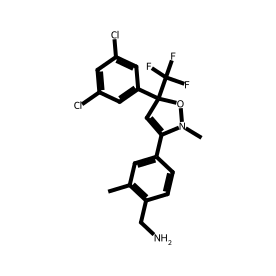 Cc1cc(C2=CC(c3cc(Cl)cc(Cl)c3)(C(F)(F)F)ON2C)ccc1CN